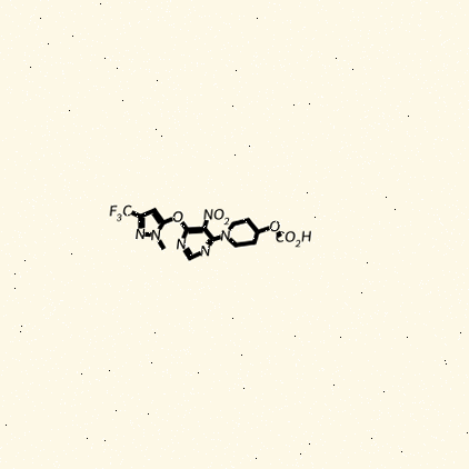 Cn1nc(C(F)(F)F)cc1Oc1ncnc(N2CCC(OC(=O)O)CC2)c1[N+](=O)[O-]